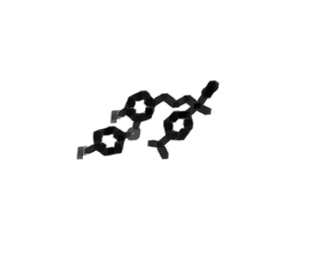 C#CC(C)(CCCc1ccc(F)c(Oc2ccc(F)cc2)c1)c1ccc(C(C)C)cc1